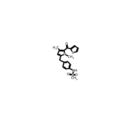 Cc1cc(Cc2ccc(NS(C)(=O)=O)cc2)n(C)c1C(=O)c1cccs1